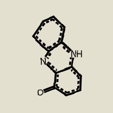 O=c1cccc2[nH]c3ccccc3nc1-2